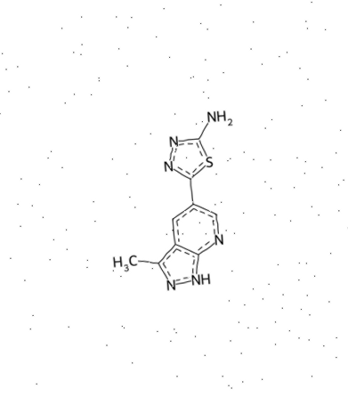 Cc1n[nH]c2ncc(-c3nnc(N)s3)cc12